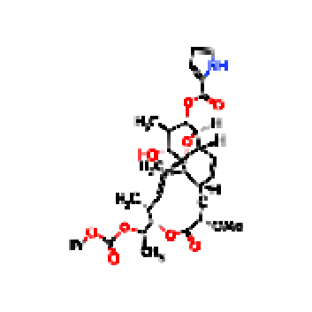 CO[C@H]1C[C@H]2C=C[C@H]3[C@H]4O[C@]2(/C(C)=C/[C@@H](C)[C@@H]([C@@H](C)OC(=O)OC(C)C)OC1=O)[C@@H]3[C@H](O)[C@@H](C)[C@H]4OC(=O)c1ccc[nH]1